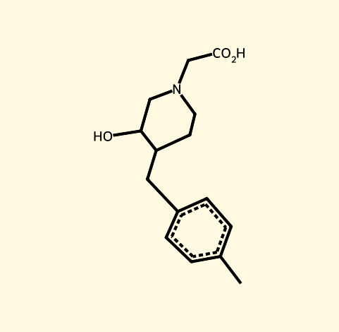 Cc1ccc(CC2CCN(CC(=O)O)CC2O)cc1